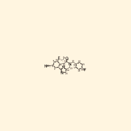 CC[C@]1(c2ccc(C#N)cc2F)C(=O)N(Cc2ccc(F)cc2)Cc2cncn21